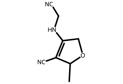 CC1OCC(NCC#N)=C1C#N